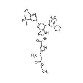 CCOC(=O)CC(C)n1cnc(C(=O)Nc2nc3nc(-c4cnc(C5CC5)c(C(F)(F)F)c4)cc(N(C)CC4(COC)CCCC4)c3[nH]2)c1